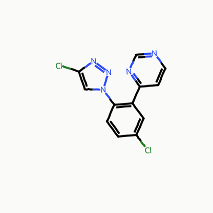 Clc1ccc(-n2cc(Cl)nn2)c(-c2ccncn2)c1